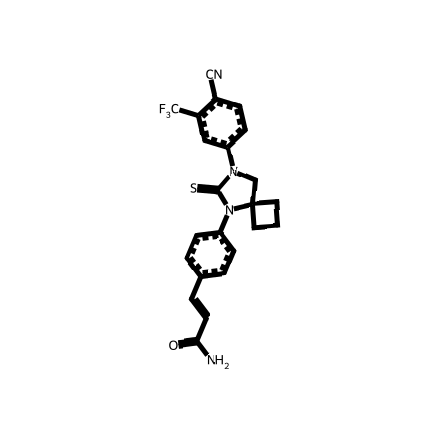 N#Cc1ccc(N2CC3(CCC3)N(c3ccc(/C=C/C(N)=O)cc3)C2=S)cc1C(F)(F)F